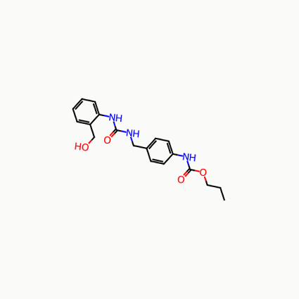 CCCOC(=O)Nc1ccc(CNC(=O)Nc2ccccc2CO)cc1